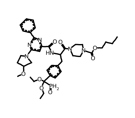 CCCCOC(=O)N1CCN(C(=O)C(Cc2ccc(C(OCC)(OCC)[PH2]=O)cc2)NC(=O)c2cc(N3CCC(OC)C3)nc(-c3ccccc3)n2)CC1